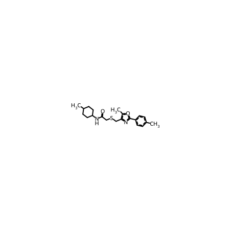 Cc1ccc(-c2nc(CSCC(=O)NC3CCC(C)CC3)c(C)o2)cc1